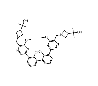 COc1nc(-c2cccc(-c3cccc(-c4cnc(CN5CC(C(C)(C)O)C5)c(OC)n4)c3Cl)c2Cl)cnc1CN1CC(C(C)(C)O)C1